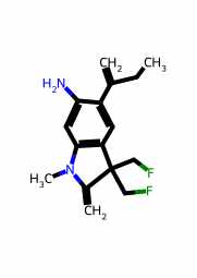 C=C(CC)c1cc2c(cc1N)N(C)C(=C)C2(CF)CF